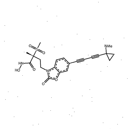 CNC1(C#CC#Cc2ccc3c(c2)oc(=O)n3CC[C@](C)(C(=O)NO)S(C)(=O)=O)CC1